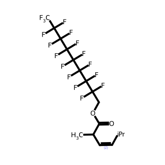 CC(C)/C=C\C(C)C(=O)OCC(F)(F)C(F)(F)C(F)(F)C(F)(F)C(F)(F)C(F)(F)C(F)(F)C(F)(F)F